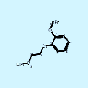 CCCOc1c[c]ccc1OCCOCC